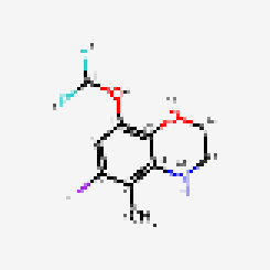 [CH2]c1c(I)cc(OC(F)F)c2c1NCCO2